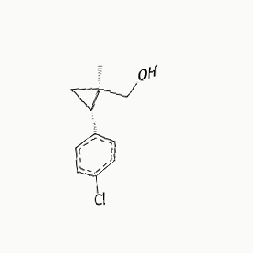 C[C@@]1(CO)C[C@H]1c1ccc(Cl)cc1